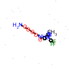 Cn1cc2c3cc(C(=O)NCCOCCOCCOCCOCCN)ccc3n(-c3ccc(C(F)(F)F)cc3)c2n1